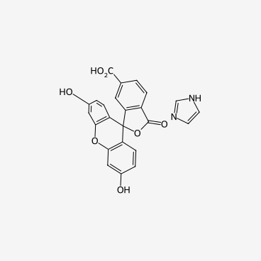 O=C(O)c1ccc2c(c1)C1(OC2=O)c2ccc(O)cc2Oc2cc(O)ccc21.c1c[nH]cn1